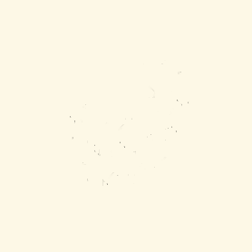 O=C(Nc1nccnc1Oc1ccc(Nc2nc3ccccc3s2)cc1)C1CCNCC1